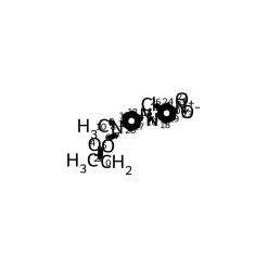 C=C(C)C(=O)OCCN(CC)c1ccc(N=Nc2ccc([N+](=O)[O-])cc2Cl)cc1